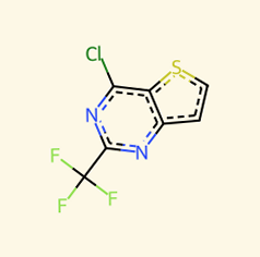 FC(F)(F)c1nc(Cl)c2sccc2n1